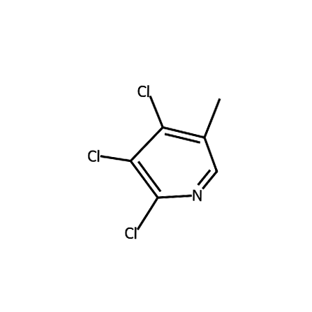 Cc1cnc(Cl)c(Cl)c1Cl